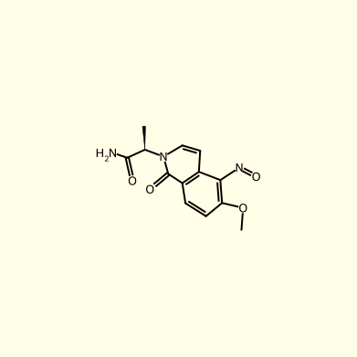 COc1ccc2c(=O)n([C@H](C)C(N)=O)ccc2c1N=O